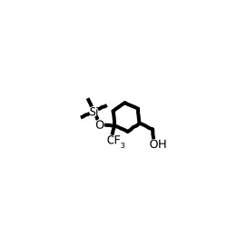 C[Si](C)(C)OC1(C(F)(F)F)CCCC(CO)C1